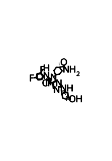 C[C@]1(C(N)=O)CC[C@@H](n2c(Nc3c(F)cc(F)cc3Cl)nc3cnc(N[C@@H]4CCC[C@H](O)C4)nc32)CC1